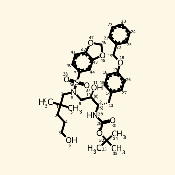 CC(C)(CCCO)CN(C[C@@H](O)[C@H](Cc1ccc(OCc2ccccc2)cc1)NC(=O)OC(C)(C)C)S(=O)(=O)c1ccc2c(c1)OCO2